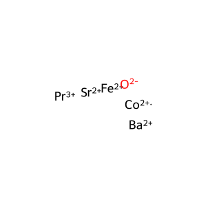 [Ba+2].[Co+2].[Fe+2].[O-2].[Pr+3].[Sr+2]